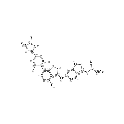 COC(=O)C[C@@H]1COc2cc(O[C@@H]3CCc4c(-c5c(C)cc(-c6cn(C)c(C)n6)cc5C)ccc(F)c43)ccc21